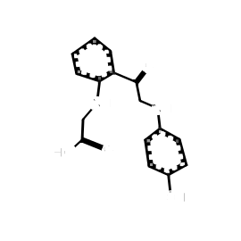 O=C(O)CNc1ccccc1C(=O)CNc1ccc(O)cc1